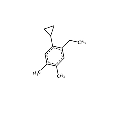 CCc1cc(C)c(C)cc1C1CC1